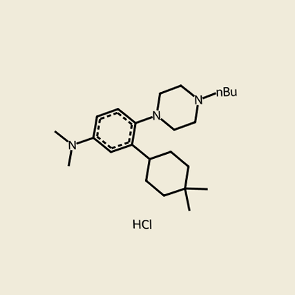 CCCCN1CCN(c2ccc(N(C)C)cc2C2CCC(C)(C)CC2)CC1.Cl